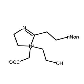 CCCCCCCCCCCC1=NCC[N+]1(CCO)CC(=O)[O-]